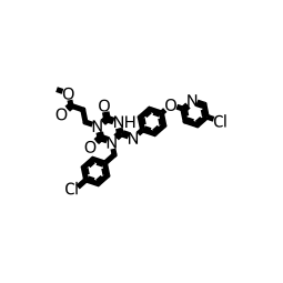 COC(=O)CCn1c(=O)[nH]/c(=N\c2ccc(Oc3ccc(Cl)cn3)cc2)n(Cc2ccc(Cl)cc2)c1=O